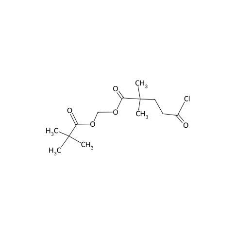 CC(C)(C)C(=O)OCOC(=O)C(C)(C)CCC(=O)Cl